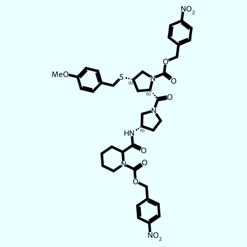 COc1ccc(CS[C@H]2C[C@@H](C(=O)N3CC[C@H](NC(=O)C4CCCCN4C(=O)OCc4ccc([N+](=O)[O-])cc4)C3)N(C(=O)OCc3ccc([N+](=O)[O-])cc3)C2)cc1